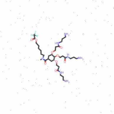 CN(CCCCCCOC(=O)C(F)(F)F)C(=O)C1C[C@@H](OCCC(=O)NCCCN)C(OCCC(=O)NCCCN)[C@H](OCCC(=O)NCCCN)C1